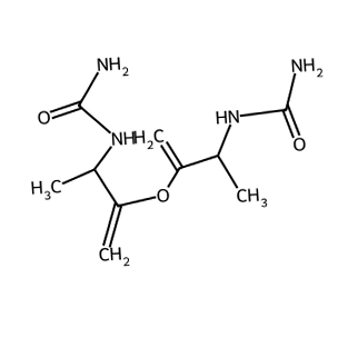 C=C(OC(=C)C(C)NC(N)=O)C(C)NC(N)=O